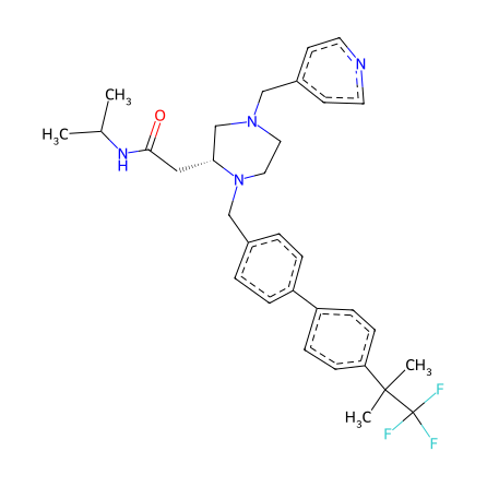 CC(C)NC(=O)C[C@@H]1CN(Cc2ccncc2)CCN1Cc1ccc(-c2ccc(C(C)(C)C(F)(F)F)cc2)cc1